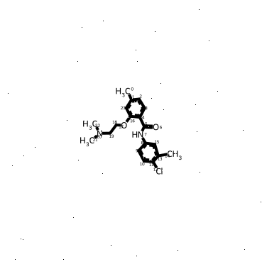 Cc1ccc(C(=O)Nc2ccc(Cl)c(C)c2)c(OCCN(C)C)c1